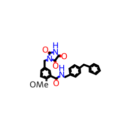 COc1ccc(CN2C(=O)NC(=O)C2=O)cc1C(=O)NCc1ccc(Cc2ccccc2)cc1